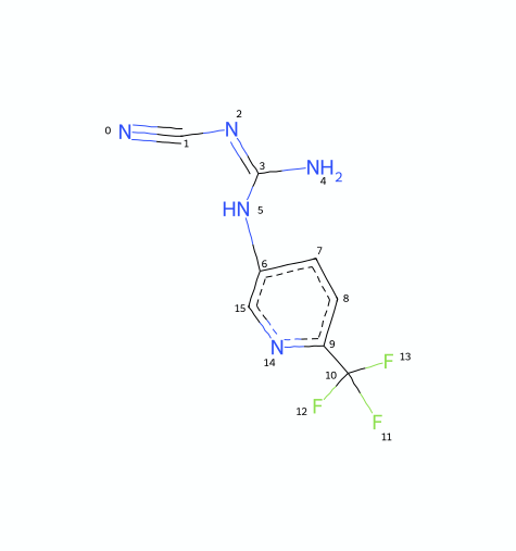 N#C/N=C(/N)Nc1ccc(C(F)(F)F)nc1